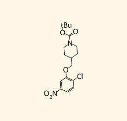 CC(C)(C)OC(=O)N1CCC(COc2cc([N+](=O)[O-])ccc2Cl)CC1